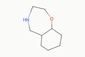 [CH]1CNCC2CCCCC2O1